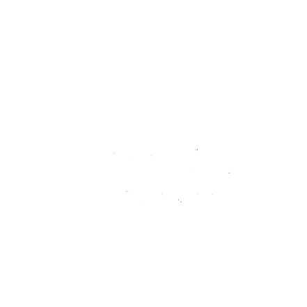 CC(C)=CCc1cc2c(cc1O)[nH]c1c(Cl)cccc12